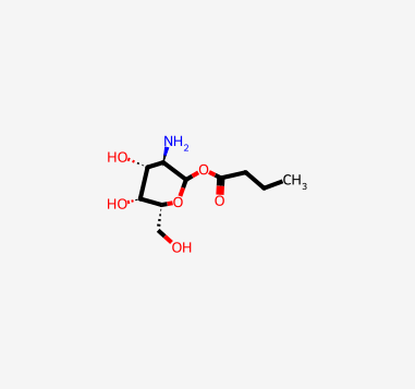 CCCC(=O)OC1O[C@H](CO)[C@H](O)[C@H](O)[C@H]1N